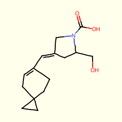 O=C(O)N1CC(=CC2=CCC3(CC2)CC3)CC1CO